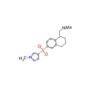 CNCC1CCCc2cc(S(=O)(=O)c3ccn(C)c3)ccc21